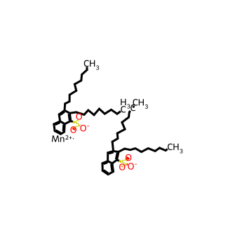 CCCCCCCCCc1cc2ccccc2c(S(=O)(=O)[O-])c1CCCCCCCCC.CCCCCCCCCc1cc2ccccc2c(S(=O)(=O)[O-])c1CCCCCCCCC.[Mn+2]